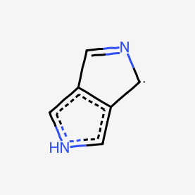 [CH]1N=Cc2c[nH]cc21